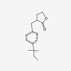 CCC(C)(C)c1ccc(CC2CCOC2=O)cc1